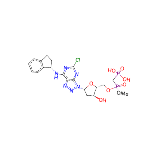 COP(=O)(CP(=O)(O)O)OC[C@H]1O[C@@H](n2nnc3c(N[C@H]4CCc5ccccc54)nc(Cl)nc32)C[C@@H]1O